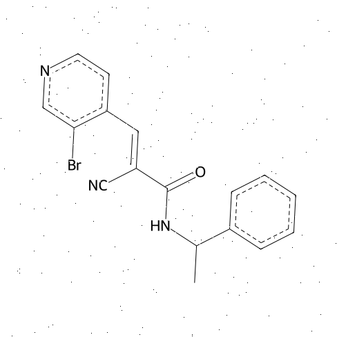 CC(NC(=O)/C(C#N)=C/c1ccncc1Br)c1ccccc1